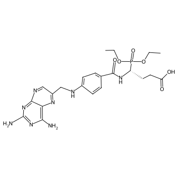 CCOP(=O)(OCC)[C@H](CCC(=O)O)NC(=O)c1ccc(NCc2cnc3nc(N)nc(N)c3n2)cc1